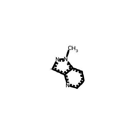 Cn1n[c]c2ncccc21